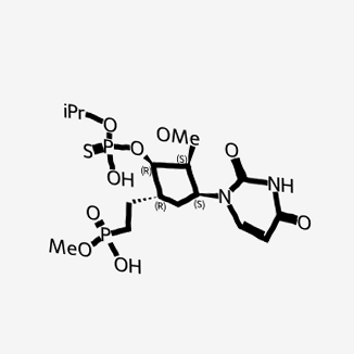 CO[C@@H]1[C@H](OP(O)(=S)OC(C)C)[C@@H](CCP(=O)(O)OC)C[C@@H]1n1ccc(=O)[nH]c1=O